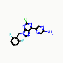 Nc1cnc(-c2nc(Cl)nc3c2ncn3Cc2c(F)cccc2F)cn1